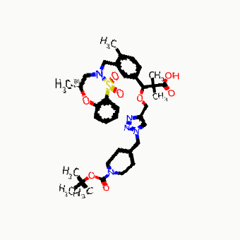 Cc1ccc(C(OCc2cn(CC3CCN(C(=O)OC(C)(C)C)CC3)nn2)C(C)(C)C(=O)O)cc1CN1C[C@@H](C)Oc2ccccc2S1(=O)=O